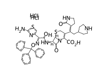 Cl.Cl.Nc1nc(C(=NOC(c2ccccc2)(c2ccccc2)c2ccccc2)C(=O)N[C@@H]2C(=O)N3C(C(=O)O)=C(C(CC4CCNCC4)=C4CCNC4=O)CS[C@H]23)cs1